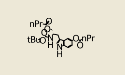 CCCC(=O)OC[C@H](Cc1c[nH]c2ccc(OC(=O)CCC)cc12)NC(=O)OC(C)(C)C